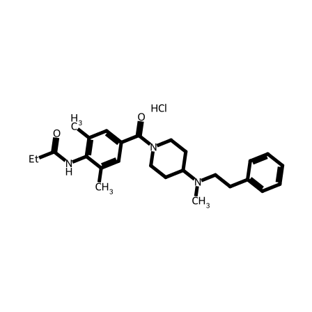 CCC(=O)Nc1c(C)cc(C(=O)N2CCC(N(C)CCc3ccccc3)CC2)cc1C.Cl